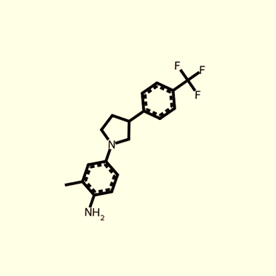 Cc1cc(N2CCC(c3ccc(C(F)(F)F)cc3)C2)ccc1N